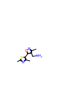 Cc1nc(C)c(-c2onc(C)c2CN)s1